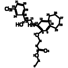 CCOC(=O)CCOc1cc2c(cc1NC[C@H](O)c1cccc(Cl)c1)CCCCC2